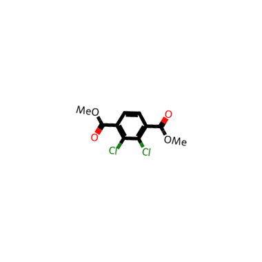 COC(=O)c1ccc(C(=O)OC)c(Cl)c1Cl